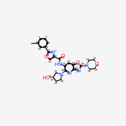 Cc1cccc(-c2nc(C(=O)Nc3cc4oc(N5CCOCC5)nc4nc3N3CC[C@@H](O)C3)co2)c1